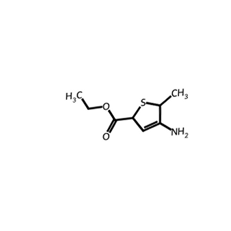 CCOC(=O)C1C=C(N)C(C)S1